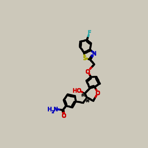 NC(=O)c1cccc(C[C@@H]2COc3ccc(OCc4nc5cc(F)ccc5s4)cc3[C@@H]2O)c1